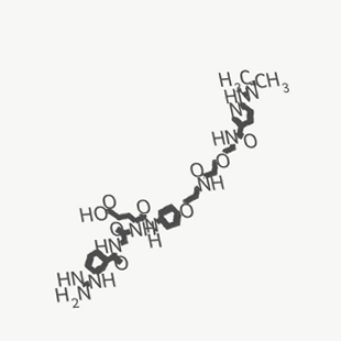 CC(C)=NNc1ccc(C(=O)NCCOCCC(=O)NCCCOc2ccc(NC(=O)C(CCC(=O)O)NC(=O)CNC(=O)c3cccc(NC(=N)N)c3)cc2)cn1